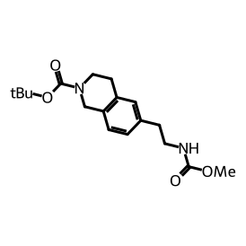 COC(=O)NCCc1ccc2c(c1)CCN(C(=O)OC(C)(C)C)C2